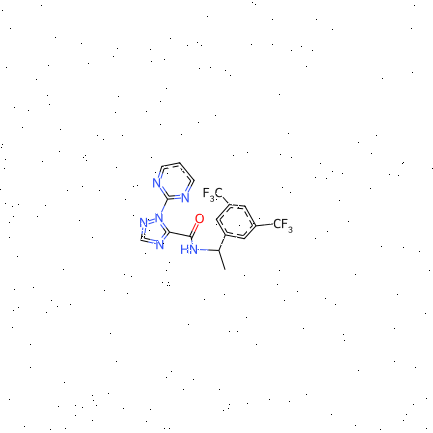 CC(NC(=O)c1ncnn1-c1ncccn1)c1cc(C(F)(F)F)cc(C(F)(F)F)c1